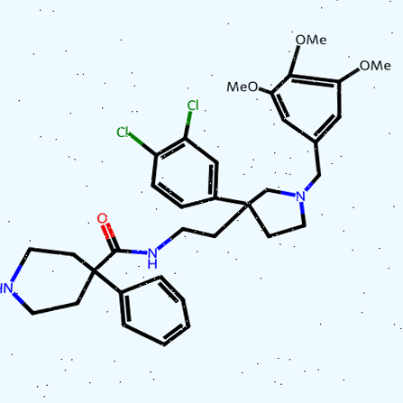 COc1cc(CN2CCC(CCNC(=O)C3(c4ccccc4)CCNCC3)(c3ccc(Cl)c(Cl)c3)C2)cc(OC)c1OC